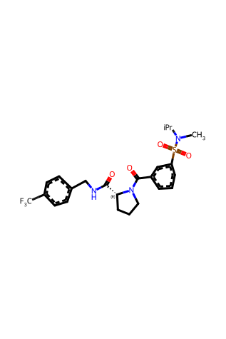 CC(C)N(C)S(=O)(=O)c1cccc(C(=O)N2CCC[C@@H]2C(=O)NCc2ccc(C(F)(F)F)cc2)c1